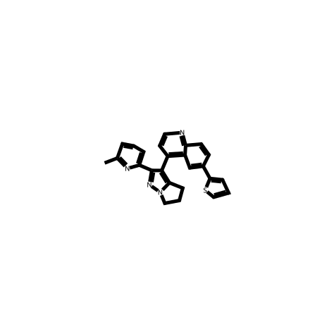 Cc1cccc(-c2nn3c(c2-c2ccnc4ccc(-c5cccs5)cc24)CCC3)n1